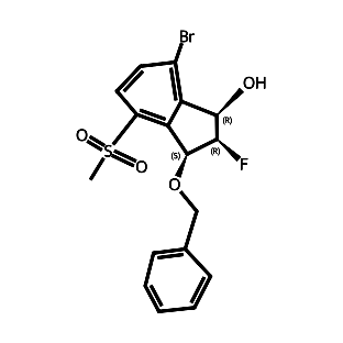 CS(=O)(=O)c1ccc(Br)c2c1[C@H](OCc1ccccc1)[C@H](F)[C@@H]2O